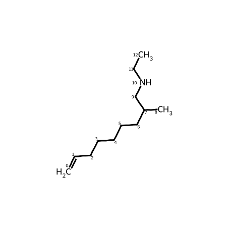 C=CCCCCCC(C)CNCC